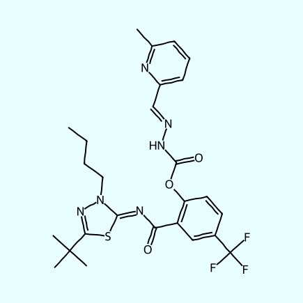 CCCCn1nc(C(C)(C)C)s/c1=N\C(=O)c1cc(C(F)(F)F)ccc1OC(=O)N/N=C/c1cccc(C)n1